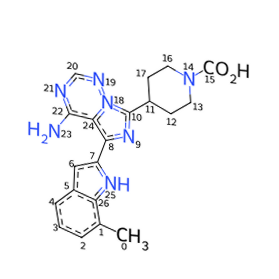 Cc1cccc2cc(-c3nc(C4CCN(C(=O)O)CC4)n4ncnc(N)c34)[nH]c12